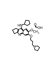 COc1cc2c(NC3CCCC3)c3c(nc2cc1OCCCN1CCCC1)CCC3.O=CO